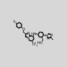 Cc1ncn(-c2ccc(Nc3cc(C(F)(F)F)cn4cc(COc5ccc(F)cc5)nc34)cc2CO)n1